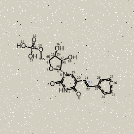 O=c1[nH]c(=O)n([C@@H]2O[C@H](COP(=O)(O)O)[C@@H](O)[C@H]2O)cc1/C=C/c1ccccc1